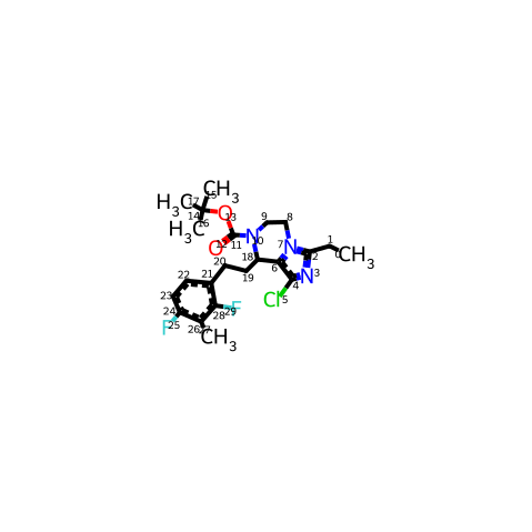 CCc1nc(Cl)c2n1CCN(C(=O)OC(C)(C)C)C2CCc1ccc(F)c(C)c1F